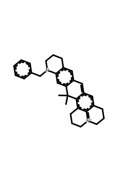 CC1(C)c2cc3c(cc2C=c2cc4c5c(c21)CCC[N+]=5CCC4)CCCN3Cc1ccccc1